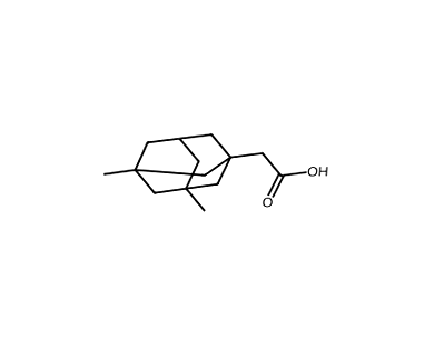 CC12CC3CC(C)(C1)CC(CC(=O)O)(C3)C2